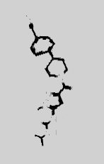 CC(C)NC(=O)Nc1cc(C(=O)N2CCC(c3ccc(C#N)cc3)CC2)nn1C